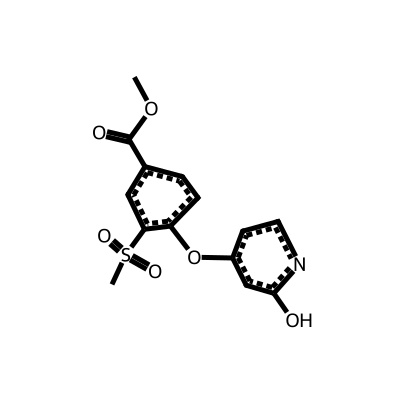 COC(=O)c1ccc(Oc2ccnc(O)c2)c(S(C)(=O)=O)c1